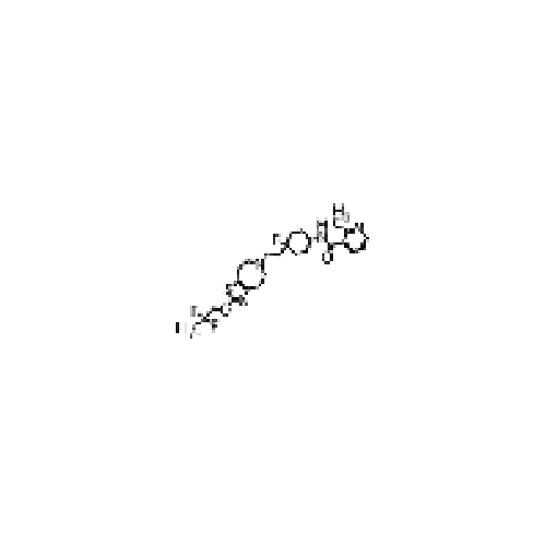 Cc1ncccc1C(=O)NC1CCC(F)(CCN2CCc3nc(OCC(C)(F)F)sc3CC2)CC1